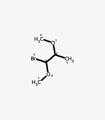 COC(C)C(Br)OC